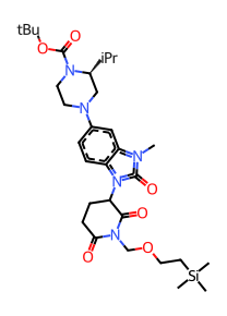 CC(C)[C@H]1CN(c2ccc3c(c2)n(C)c(=O)n3C2CCC(=O)N(COCC[Si](C)(C)C)C2=O)CCN1C(=O)OC(C)(C)C